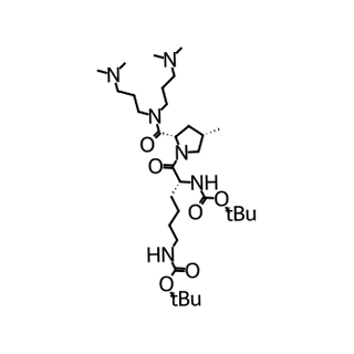 C[C@H]1C[C@@H](C(=O)N(CCCN(C)C)CCCN(C)C)N(C(=O)[C@@H](CCCCNC(=O)OC(C)(C)C)NC(=O)OC(C)(C)C)C1